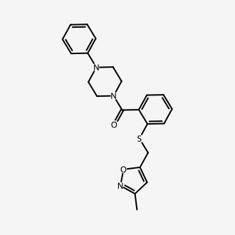 Cc1cc(CSc2ccccc2C(=O)N2CCN(c3ccccc3)CC2)on1